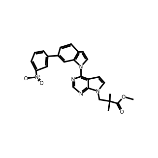 COC(=O)C(C)(C)Cn1ccc2c(-n3ccc4ccc(-c5cccc([N+](=O)[O-])c5)cc43)ncnc21